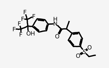 CCS(=O)(=O)c1ccc(C(C)C(=O)Nc2ccc(C(O)(C(F)(F)F)C(F)(F)F)cc2)cc1